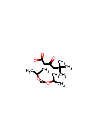 CC(C)(C)CC(=O)CC(=O)[O-].CC(C)[O][Al+][O]C(C)C